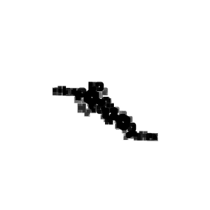 CCCCCCC(C)Oc1ccc(-c2cnc(OC(=O)c3cc([N+](=O)[O-])c(OC(C)CCCCCC)cc3N)cn2)cc1